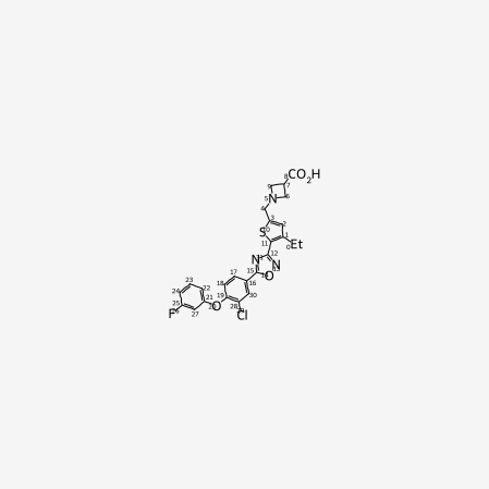 CCc1cc(CN2CC(C(=O)O)C2)sc1-c1noc(-c2ccc(Oc3cccc(F)c3)c(Cl)c2)n1